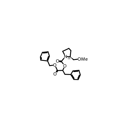 COC[C@@H]1CCCN1C(=O)OC(Cc1ccccc1)C(=O)OCc1ccccc1